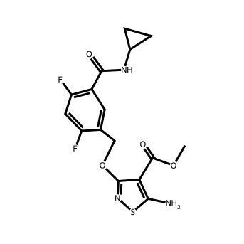 COC(=O)c1c(OCc2cc(C(=O)NC3CC3)c(F)cc2F)nsc1N